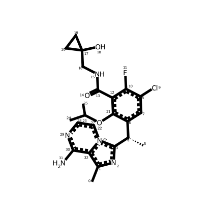 Cc1nc([C@@H](C)c2cc(Cl)c(F)c(C(=O)NCC3(O)CC3)c2OC(C)C)n2ccnc(N)c12